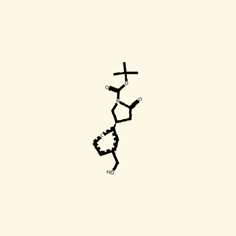 CC(C)(C)OC(=O)N1C[C@H](c2cccc(CO)c2)CC1=O